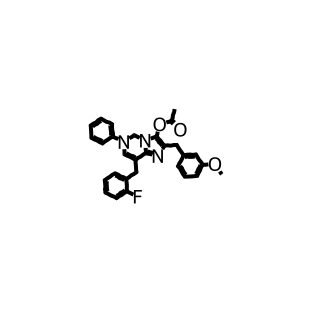 COc1cccc(Cc2nc3n(c2OC(C)=O)CN(c2ccccc2)C=C3Cc2ccccc2F)c1